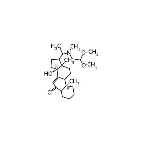 COC(CN(C)C(C)C1CC[C@@]2(O)C3=CC(=O)C4CCCC[C@]4(C)C3CCC12C)OC